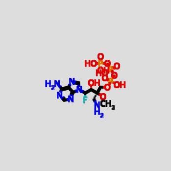 CO[C@](CN)(COP(=O)(O)OP(=O)(O)OP(=O)(O)O)[C@@H](O)[C@@H](F)n1cnc2c(N)ncnc21